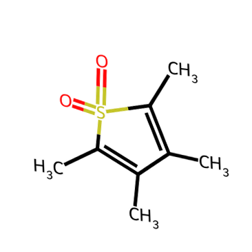 CC1=C(C)S(=O)(=O)C(C)=C1C